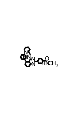 CNC(=O)c1ccc(-c2nc(NCc3ccccn3)c3c(-c4ccccc4)cccc3n2)cc1